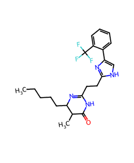 CCCCCC1N=C(CCc2nc(-c3ccccc3C(F)(F)F)c[nH]2)NC(=O)C1C